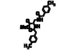 COC(=O)C(CNC(=O)Cc1ccc(C)cc1)NC(=O)Cc1ccc(C)cc1